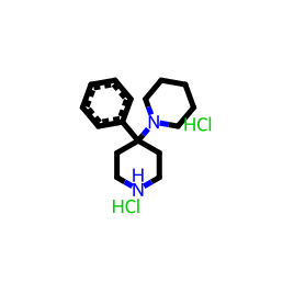 Cl.Cl.c1ccc(C2(N3CCCCC3)CCNCC2)cc1